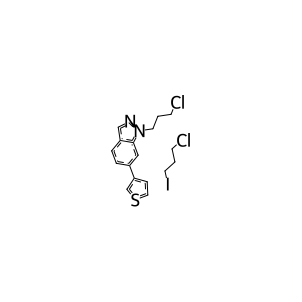 ClCCCI.ClCCCn1ncc2ccc(-c3ccsc3)cc21